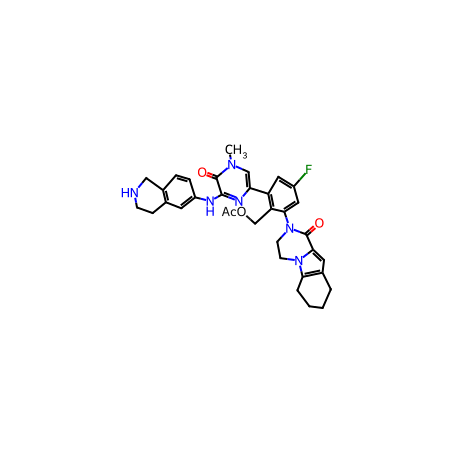 CC(=O)OCc1c(-c2cn(C)c(=O)c(Nc3ccc4c(c3)CCNC4)n2)cc(F)cc1N1CCn2c(cc3c2CCCC3)C1=O